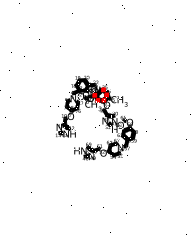 CCOC1(CN2CCC(OCc3c[nH]cn3)CC2)C=CC=C(CN2CCC(OCc3c[nH]cn3)CC2)C1(O)S(=O)(=O)c1ccc(C)cc1.c1nc(COC2CCN(Cc3ccc4c(c3)OCO4)CC2)c[nH]1